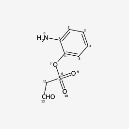 Nc1ccccc1OS(=O)(=O)CC=O